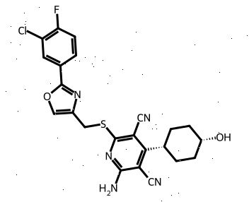 N#Cc1c(N)nc(SCc2coc(-c3ccc(F)c(Cl)c3)n2)c(C#N)c1[C@H]1CC[C@@H](O)CC1